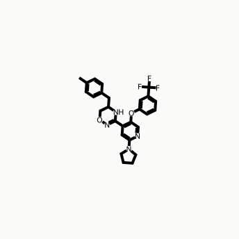 Cc1ccc(CC2CON=C(c3cc(N4CCCC4)ncc3Oc3cccc(C(F)(F)F)c3)N2)cc1